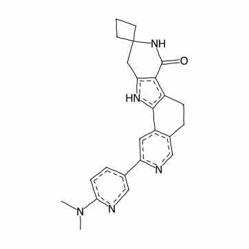 CN(C)c1ccc(-c2cc3c(cn2)CCc2c-3[nH]c3c2C(=O)NC2(CCC2)C3)cn1